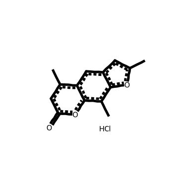 Cc1cc2cc3c(C)cc(=O)oc3c(C)c2o1.Cl